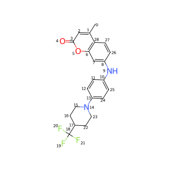 Cc1cc(=O)oc2cc(Nc3ccc(N4CCC(C(F)(F)F)CC4)cc3)ccc12